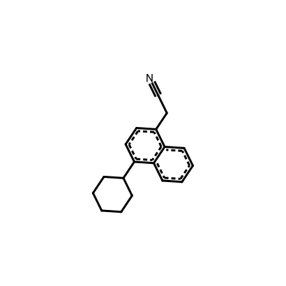 N#CCc1ccc(C2CCCCC2)c2ccccc12